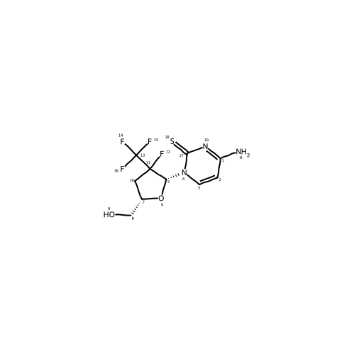 Nc1ccn([C@@H]2O[C@H](CO)CC2(F)C(F)(F)F)c(=S)n1